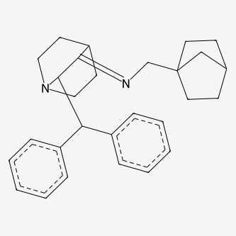 c1ccc(C(c2ccccc2)C2C(=NCC34CCC(CC3)C4)C3CCN2CC3)cc1